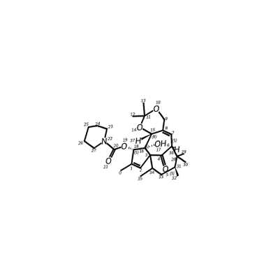 CC1=CC23C(=O)[C@@H](C=C4COC(C)(C)O[C@H]4[C@]2(O)[C@H]1OC(=O)N1CCCCC1)C(C)(C)[C@@H](C)CC3C